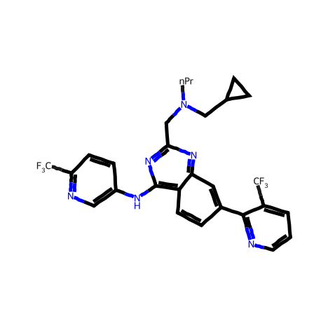 CCCN(Cc1nc(Nc2ccc(C(F)(F)F)nc2)c2ccc(-c3ncccc3C(F)(F)F)cc2n1)CC1CC1